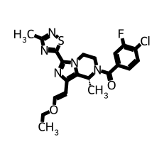 CCOC=Cc1nc(-c2nc(C)ns2)n2c1[C@@H](C)N(C(=O)c1ccc(Cl)c(F)c1)CC2